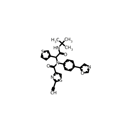 C#Cc1nc(C(=O)N(c2ccc(-c3cnco3)cc2)C(C(=O)NC(C)(C)C)c2ccsc2)cs1